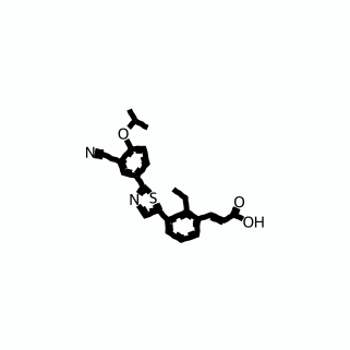 CCc1c(C=CC(=O)O)cccc1-c1cnc(-c2ccc(OC(C)C)c(C#N)c2)s1